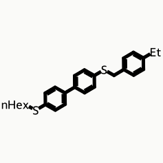 CCCCCCSc1ccc(-c2ccc(SCc3ccc(CC)cc3)cc2)cc1